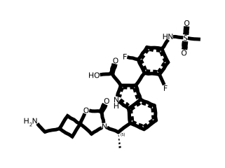 C[C@@H](c1cccc2c(-c3c(F)cc(NS(C)(=O)=O)cc3F)c(C(=O)O)[nH]c12)N1CC2(CC(CN)C2)OC1=O